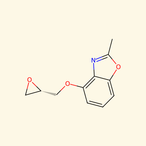 Cc1nc2c(OC[C@@H]3CO3)cccc2o1